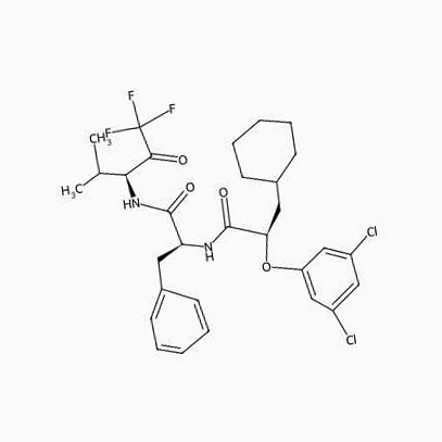 CC(C)[C@H](NC(=O)[C@H](Cc1ccccc1)NC(=O)[C@@H](CC1CCCCC1)Oc1cc(Cl)cc(Cl)c1)C(=O)C(F)(F)F